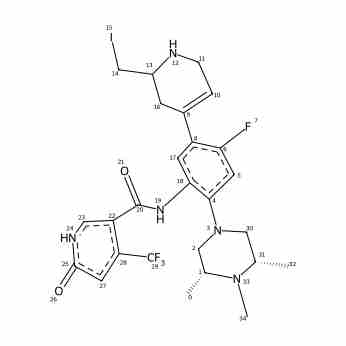 C[C@@H]1CN(c2cc(F)c(C3=CCNC(CI)C3)cc2NC(=O)c2c[nH]c(=O)cc2C(F)(F)F)C[C@H](C)N1C